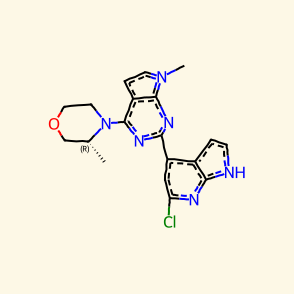 C[C@@H]1COCCN1c1nc(-c2cc(Cl)nc3[nH]ccc23)nc2c1ccn2C